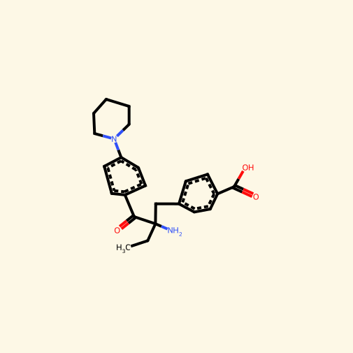 CCC(N)(Cc1ccc(C(=O)O)cc1)C(=O)c1ccc(N2CCCCC2)cc1